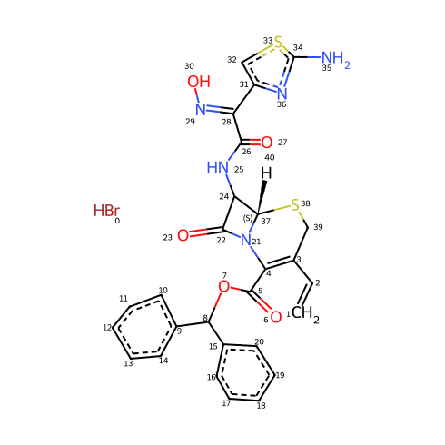 Br.C=CC1=C(C(=O)OC(c2ccccc2)c2ccccc2)N2C(=O)C(NC(=O)C(=NO)c3csc(N)n3)[C@@H]2SC1